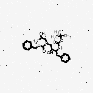 CC(C)CN(CC(O)C(Cc1ccccc1)NC(=O)OC(C)(C)C)C(=O)OCc1ccccc1